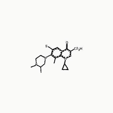 Cc1c(N2CCN(C)C(C)C2)c(F)cc2c(=O)c(C(=O)O)cn(C3CC3)c12